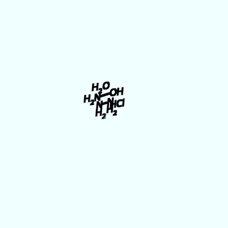 Cl.NN.NO.O